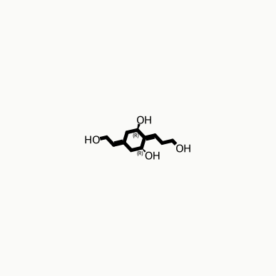 OCC=C1C[C@@H](O)C(=CCCO)[C@H](O)C1